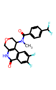 CN(C(=O)c1ccc(C(F)F)cc1)C1COCc2[nH]c(=O)c3cc(F)c(F)cc3c21